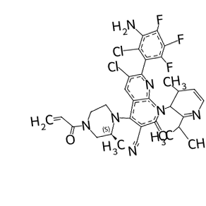 C=CC(=O)N1CCN(c2c(C#N)c(=O)n(C3C(C(C)C)=NC=CC3C)c3nc(-c4c(F)c(F)c(F)c(N)c4Cl)c(Cl)cc23)[C@@H](C)C1